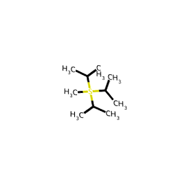 CC(C)S(C)(C(C)C)C(C)C